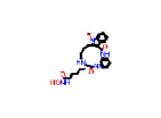 COn1c2c(c3ccccc31)C(=O)Nc1ccccc1NC(=O)[C@H](CCCCCC(=O)NO)NCCCC2